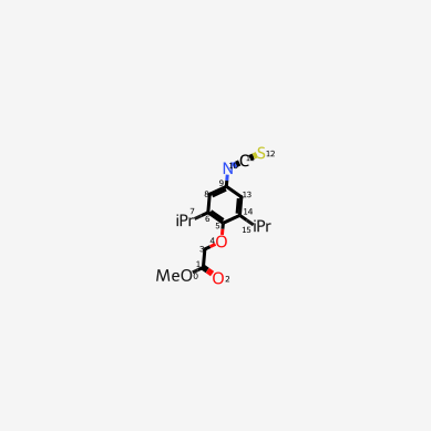 COC(=O)COc1c(C(C)C)cc(N=C=S)cc1C(C)C